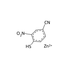 N#Cc1ccc(S)c([N+](=O)[O-])c1.[Zn+2]